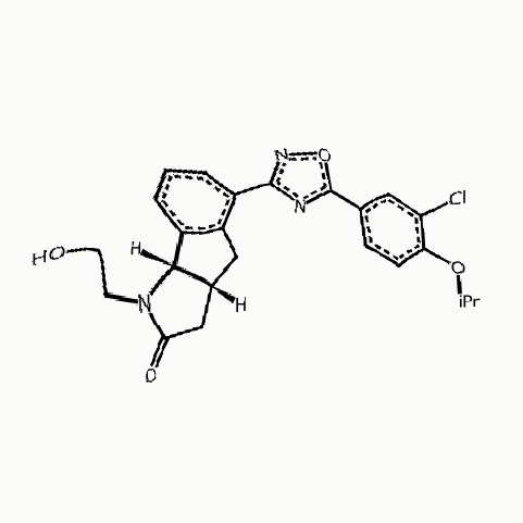 CC(C)Oc1ccc(-c2nc(-c3cccc4c3C[C@@H]3CC(=O)N(CCO)[C@H]43)no2)cc1Cl